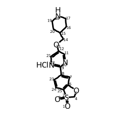 Cl.O=S1(=O)COc2cc(-c3ncc(OCC4CCNCC4)cn3)ccc21